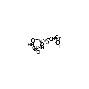 O=C(CC1CCN(C(=O)c2ccc(F)cc2F)CC1)Nc1ccc2cc1CCc1cccc(c1)Nc1ncc(Cl)c(n1)N2